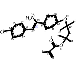 C=C(C)C(=O)OC(C)(C)CC(C)(C)Oc1ccc(/C(N)=C/c2ccc(Cl)cc2)cc1